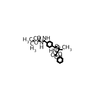 CCC(=O)C(NC(=O)c1ccc(C(=N)NC(=O)OC(C)(C)C)cc1)(Oc1ccccc1)C(=O)O